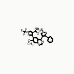 COc1cc2ncnc(-c3cn(C)nc3-c3ccccc3)c2cc1-c1nn(C(F)(F)F)cc1C(N)=O